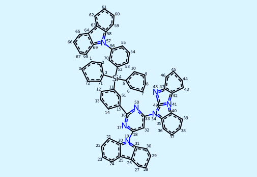 c1ccc([Si](c2ccccc2)(c2cccc(-c3nc(-n4c5ccccc5c5ccccc54)cc(-n4c5ccccc5n5c6ccccc6nc45)n3)c2)c2cccc(-n3c4ccccc4c4ccccc43)c2)cc1